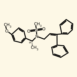 COc1ccc([C@@H](C)N(CC=C(c2ccccc2)c2ccccc2)S(C)(=O)=O)cc1